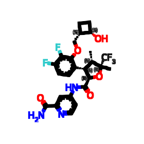 C[C@H]1[C@@H](c2ccc(F)c(F)c2OC[C@@H]2CC[C@@H]2O)[C@H](C(=O)Nc2ccnc(C(N)=O)c2)O[C@@]1(C)C(F)(F)F